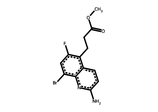 COC(=O)CCc1c(F)cc(Br)c2nc(N)ccc12